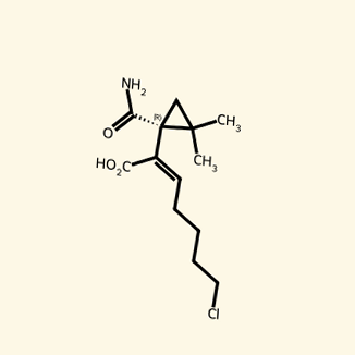 CC1(C)C[C@]1(C(N)=O)C(=CCCCCCl)C(=O)O